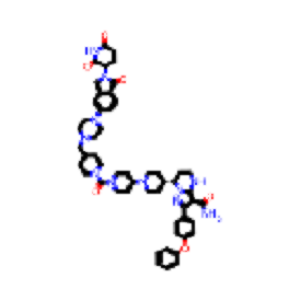 NC(=O)c1c(-c2ccc(Oc3ccccc3)cc2)nn2c1NCC[C@H]2C1CCN(C2CCN(C(=O)N3CCC(CN4CCN(c5ccc6c(c5)CN(C5CCC(=O)NC5=O)C6=O)CC4)CC3)CC2)CC1